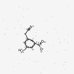 Cc1cc(CC#N)cc([N+](=O)[O-])c1